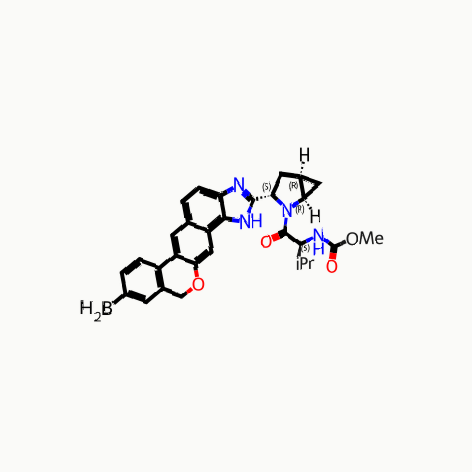 Bc1ccc2c(c1)COc1cc3c(ccc4nc([C@@H]5C[C@H]6C[C@H]6N5C(=O)[C@@H](NC(=O)OC)C(C)C)[nH]c43)cc1-2